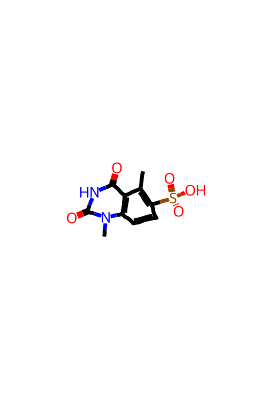 Cc1c(S(=O)(=O)O)ccc2c1c(=O)[nH]c(=O)n2C